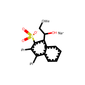 COCC(O)c1c(S(=O)(=O)[O-])c(C(C)C)c(C(C)C)c2ccccc12.[Na+]